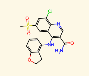 CS(=O)(=O)c1cc(Cl)c2ncc(C(N)=O)c(Nc3cccc4c3CCO4)c2c1